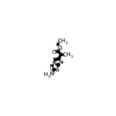 CCOC(=O)C(C)c1cn2nc(N)sc2n1